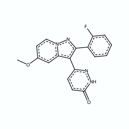 COc1ccn2nc(-c3ccccc3F)c(-c3ccc(=O)[nH]n3)c2c1